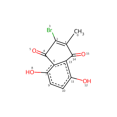 CC1=C(Br)C(=O)c2c(O)ccc(O)c2C1=O